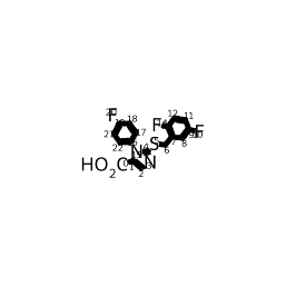 O=C(O)c1cnc(SCc2cc(F)ccc2F)n1-c1ccc(F)cc1